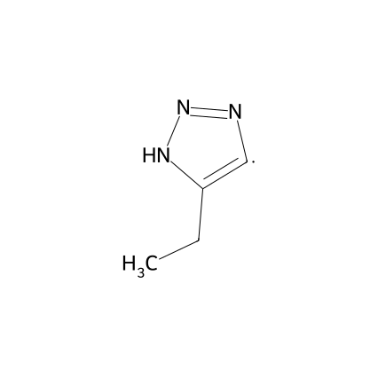 CCc1[c]nn[nH]1